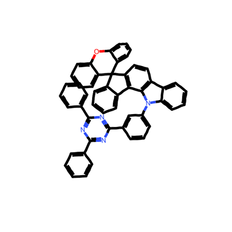 c1ccc(-c2nc(-c3ccccc3)nc(-c3cccc(-n4c5ccccc5c5ccc6c(c54)-c4ccccc4C64c5ccccc5Oc5ccccc54)c3)n2)cc1